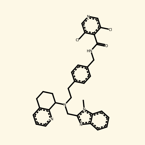 Cn1c(CN(CCc2ccc(CNC(=O)c3c(Cl)cncc3Cl)cc2)C2CCCc3cccnc32)nc2ccccc21